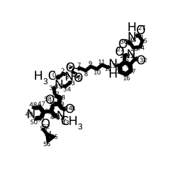 CC1CN(S(=O)(=O)CCCCCCNc2cccc3c2C(=O)N(C2CCC(=O)NC2=O)C3=O)CCN1Cc1cc2c(=O)n(C)cc(-c3ccncc3OCC3CC3)c2o1